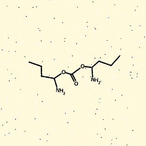 CCCC(N)OC(=O)OC(N)CCC